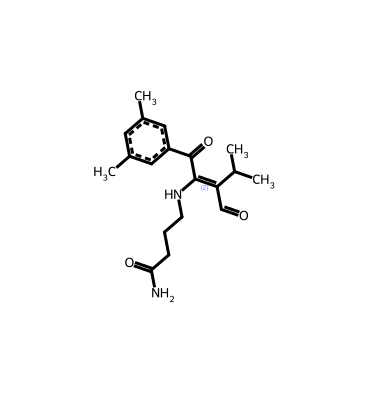 Cc1cc(C)cc(C(=O)/C(NCCCC(N)=O)=C(/C=O)C(C)C)c1